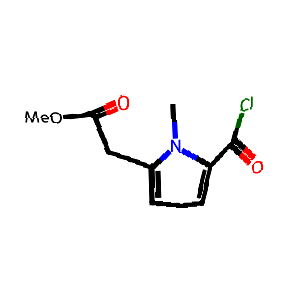 COC(=O)Cc1ccc(C(=O)Cl)n1C